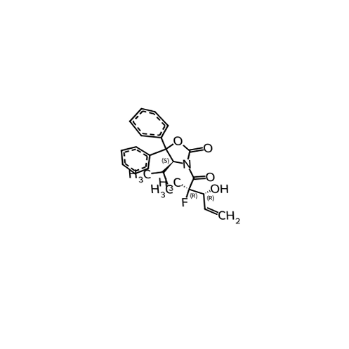 C=C[C@@H](O)[C@@](C)(F)C(=O)N1C(=O)OC(c2ccccc2)(c2ccccc2)[C@@H]1C(C)C